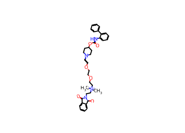 C[N+](C)(CCOCCOCCN1CCC(OC(=O)Nc2ccccc2-c2ccccc2)CC1)CCN1C(=O)c2ccccc2C1=O